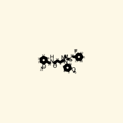 COc1cccc(-n2c(CCC(=O)NCc3ccccc3OC)nnc2SCc2ccccc2F)c1